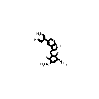 COc1cc(OC)c(F)c(Cc2c[nH]c3ncc(/C(C=N)=C/N)cc23)c1F